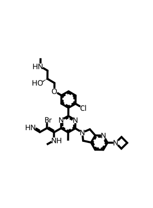 CNC[C@@H](O)COc1ccc(Cl)c(-c2nc(/C(NC)=C(\Br)C=N)c(C)c(N3Cc4ccc(N5CCC5)nc4C3)n2)c1